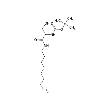 CCCCCCCCNC(=O)[C@H](CO)NC(=O)OC(C)(C)C